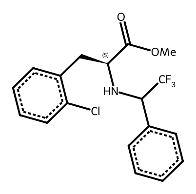 COC(=O)[C@H](Cc1ccccc1Cl)NC(c1ccccc1)C(F)(F)F